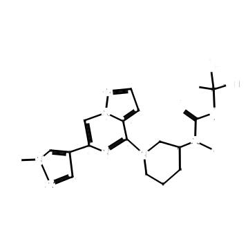 CN(C(=O)OC(C)(C)C)C1CCCN(c2nc(-c3cnn(C)c3)cn3nccc23)C1